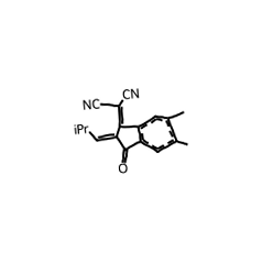 Cc1cc2c(cc1C)C(=C(C#N)C#N)/C(=C\C(C)C)C2=O